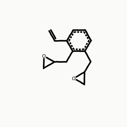 C=Cc1cccc(CC2CO2)c1CC1CO1